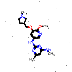 CNc1cc(C)nc(Nc2cnc(OC)c(OCC3CCN(C)C3)c2)n1